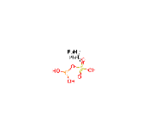 O=S(=O)(O)OP(O)O.[PbH2].[PbH2]